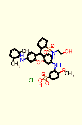 COc1ccc(S(=O)(=O)O)cc1Nc1ccc2c(-c3ccccc3S(=O)(=O)NCCO)c3ccc(Nc4c(C)cccc4C)cc3[o+]c2c1.[Cl-]